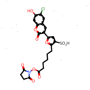 O=C(CCCCCc1oc(-c2cc3cc(Cl)c(O)cc3oc2=O)cc1S(=O)(=O)O)ON1C(=O)CCC1=O